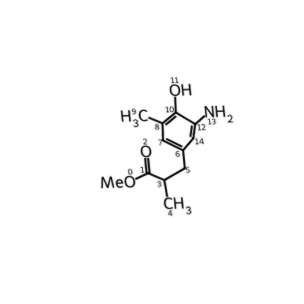 COC(=O)C(C)Cc1cc(C)c(O)c(N)c1